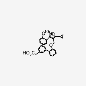 O=C(O)Cc1cccc(-c2ccccc2OCc2c(-c3ccccc3OC(F)(F)F)noc2C2CC2)c1